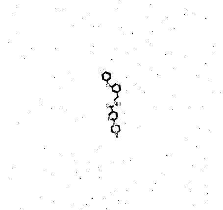 CN1CCN(c2ccc(C(=O)NCCc3cccc(Oc4ccccc4)c3)cn2)CC1